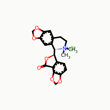 C[N+]1(C)CCc2cc3c(cc2[C@H]1[C@@H]1OC(=O)c2c1ccc1c2OCO1)OCO3.[Cl-]